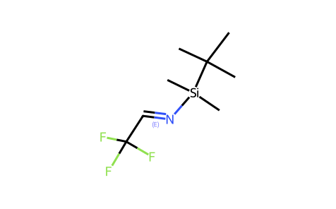 CC(C)(C)[Si](C)(C)/N=C/C(F)(F)F